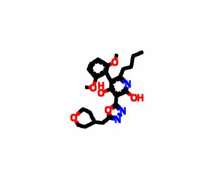 CCCCc1nc(O)c(-c2nnc(CC3CCOCC3)o2)c(O)c1-c1c(OC)cccc1OC